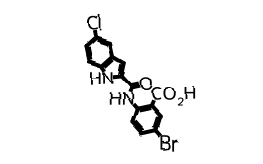 O=C(Nc1ccc(Br)cc1C(=O)O)c1cc2cc(Cl)ccc2[nH]1